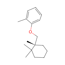 Cc1ccccc1OC[C@]1(C)CCCCC1(C)C